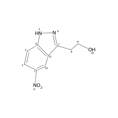 O=[N+]([O-])c1ccc2[nH]nc(CCO)c2c1